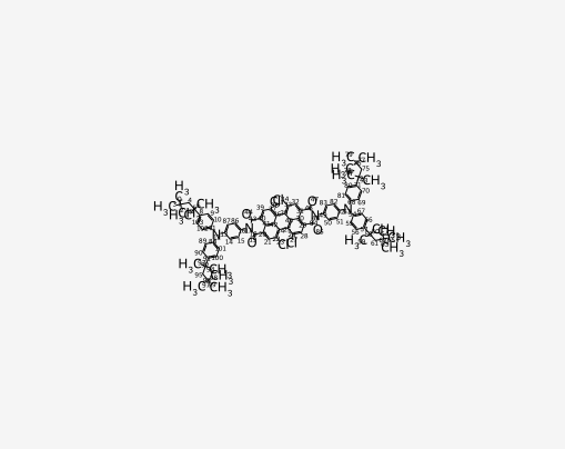 CC(C)(C)CC(C)(C)c1ccc(N(c2ccc(N3C(=O)c4cc(Cl)c5c6c(Cl)cc7c8c(cc(Cl)c(c9c(Cl)cc(c4c59)C3=O)c86)C(=O)N(c3ccc(N(c4ccc(C(C)(C)CC(C)(C)C)cc4)c4ccc(C(C)(C)CC(C)(C)C)cc4)cc3)C7=O)cc2)c2ccc(C(C)(C)CC(C)(C)C)cc2)cc1